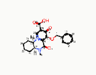 CN1C(=O)c2c(OCc3ccccc3)c(=O)c(C(=O)O)cn2[C@@H]2CCCC[C@@H]21